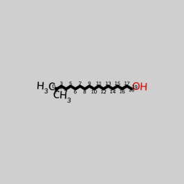 CC(C)[CH]CCCCCCCCCCCCCCCO